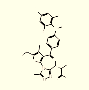 Cc1c(CO)sc2c1C(c1ccc(N(C)c3c(F)cc(F)cc3F)cc1)=N[C@@H](C(C)C(=O)O)c1nnc(C)n1-2